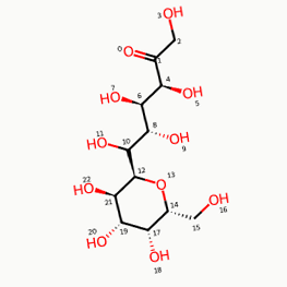 O=C(CO)[C@@H](O)[C@H](O)[C@H](O)C(O)[C@H]1O[C@H](CO)[C@H](O)[C@H](O)[C@H]1O